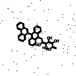 C=C(O)/C(O)=C(O)\C(O)=C(\O)Cc1c2ccccc2c(-c2cc3ccccc3c3ccccc23)c2ccccc12